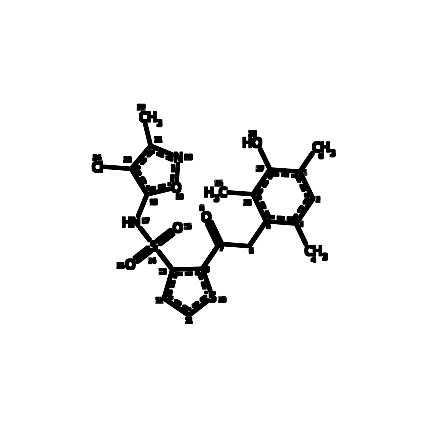 Cc1cc(C)c(CC(=O)c2sccc2S(=O)(=O)Nc2onc(C)c2Cl)c(C)c1O